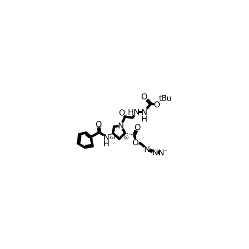 CC(C)(C)OC(=O)NNCC(=O)N1C[C@@H](NC(=O)c2ccccc2)C[C@H]1C(=O)OCN=[N+]=[N-]